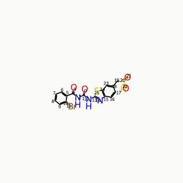 O=C(NC(=O)c1ccccc1Br)Nc1nc2ccc(C[SH](=O)=O)cc2s1